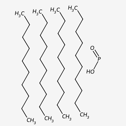 CCCCCCCCCC.CCCCCCCCCC.CCCCCCCCCC.CCCCCCCCCC.O=PO